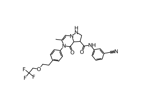 CC1=CN2NCC(C(=O)Nc3cccc(C#N)c3)C2C(=O)N1c1ccc(CCOCC(F)(F)F)cc1